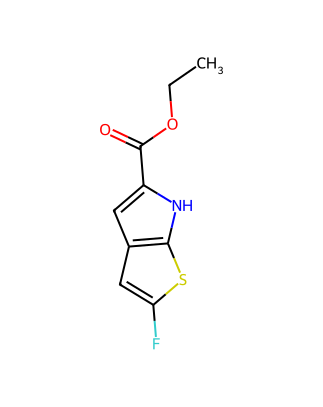 CCOC(=O)c1cc2cc(F)sc2[nH]1